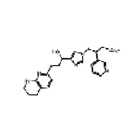 O=C(O)CC(Cn1cnc(C(O)CCc2ccc3c(n2)NCCC3)c1)c1cccnc1